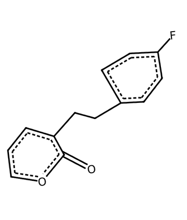 O=c1occcc1CCc1ccc(F)cc1